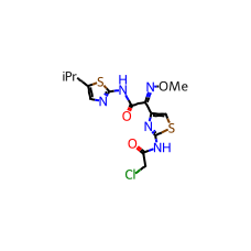 CON=C(C(=O)Nc1ncc(C(C)C)s1)c1csc(NC(=O)CCl)n1